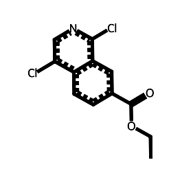 CCOC(=O)c1ccc2c(Cl)cnc(Cl)c2c1